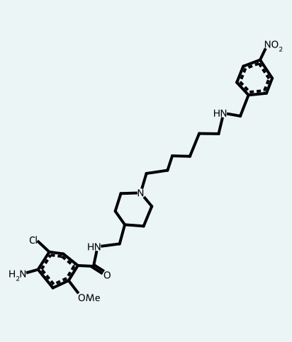 COc1cc(N)c(Cl)cc1C(=O)NCC1CCN(CCCCCCNCc2ccc([N+](=O)[O-])cc2)CC1